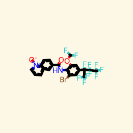 O=C(Nc1c(Br)cc(C(F)(C(F)(F)F)C(F)(F)C(F)(F)F)cc1OC(F)F)c1ccc2c(ccc[n+]2[O-])c1